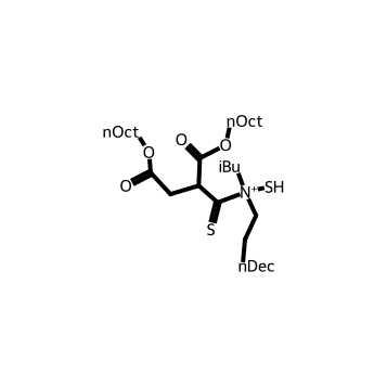 CCCCCCCCCCCC[N+](S)(C(=S)C(CC(=O)OCCCCCCCC)C(=O)OCCCCCCCC)C(C)CC